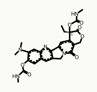 CC[C@@]1(OC(=O)NC)C(=O)OCc2c1cc1n(c2=O)Cc2cc3cc(OC(=O)NC)c(N(C)C)cc3nc2-1